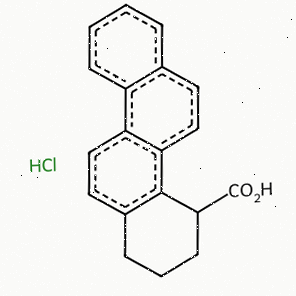 Cl.O=C(O)C1CCCc2ccc3c(ccc4ccccc43)c21